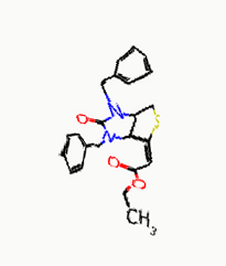 CCOC(=O)C=C1SCC2C1N(Cc1ccccc1)C(=O)N2Cc1ccccc1